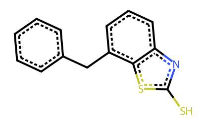 Sc1nc2cccc(Cc3ccccc3)c2s1